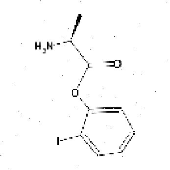 C[C@H](N)C(=O)Oc1ccccc1I